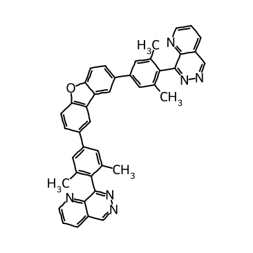 Cc1cc(-c2ccc3oc4ccc(-c5cc(C)c(-c6nncc7cccnc67)c(C)c5)cc4c3c2)cc(C)c1-c1nncc2cccnc12